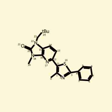 Cc1nc(-c2ccccc2)sc1-c1ccc2c(n1)n(C)c(=O)n2CC(C)(C)C